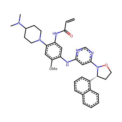 C=CC(=O)Nc1cc(Nc2cc(N3OCC[C@@H]3c3cccc4ccccc34)ncn2)c(OC)cc1N1CCC(N(C)C)CC1